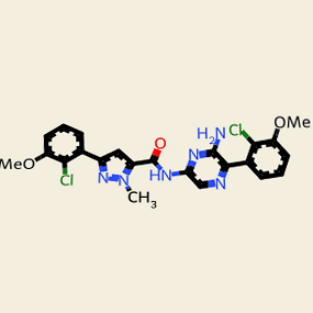 COc1cccc(-c2cc(C(=O)Nc3cnc(-c4cccc(OC)c4Cl)c(N)n3)n(C)n2)c1Cl